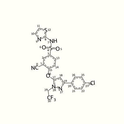 N#Cc1cc(S(=O)(=O)Nc2nccs2)ccc1Oc1cc(-c2ccc(Cl)cc2)nn1CC(F)(F)F